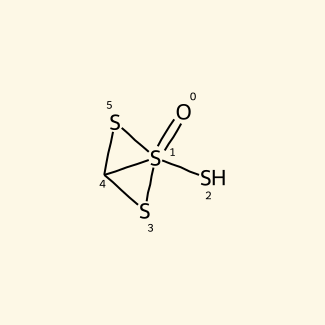 O=S12(S)SC1S2